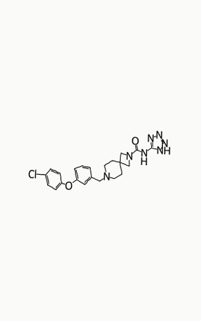 O=C(Nc1nnn[nH]1)N1CC2(CCN(Cc3cccc(Oc4ccc(Cl)cc4)c3)CC2)C1